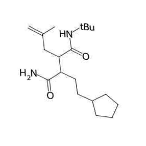 C=C(C)CC(C(=O)NC(C)(C)C)C(CCC1CCCC1)C(N)=O